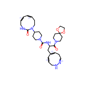 O=C(NC(CC1=C/C/C=N\NC/C=C\1)C(=O)N1CCC2(CC1)OCCO2)N1CCC(N2CC/C=C\C=C/CNC2=O)CC1